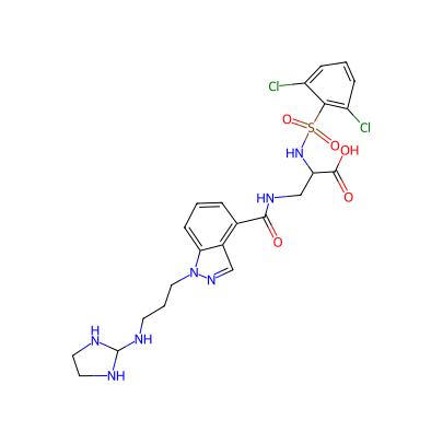 O=C(NCC(NS(=O)(=O)c1c(Cl)cccc1Cl)C(=O)O)c1cccc2c1cnn2CCCNC1NCCN1